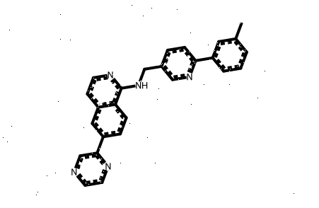 Cc1cccc(-c2ccc(CNc3nccc4cc(-c5cnccn5)ccc34)cn2)c1